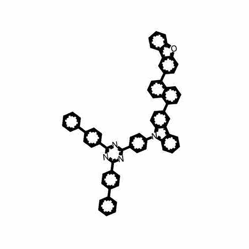 c1ccc(-c2ccc(-c3nc(-c4ccc(-c5ccccc5)cc4)nc(-c4ccc(-n5c6ccccc6c6cc(-c7cccc8c(-c9ccc%10oc%11ccccc%11c%10c9)cccc78)ccc65)cc4)n3)cc2)cc1